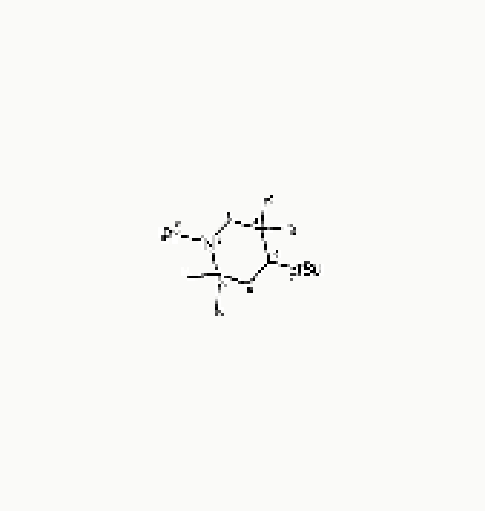 CC(C)N1CC(C)(C)C(C(C)(C)C)CC1(C)C